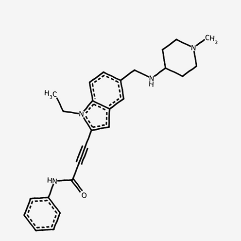 CCn1c(C#CC(=O)Nc2ccccc2)cc2cc(CNC3CCN(C)CC3)ccc21